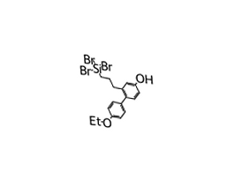 CCOc1ccc(-c2ccc(O)cc2CCC[Si](Br)(Br)Br)cc1